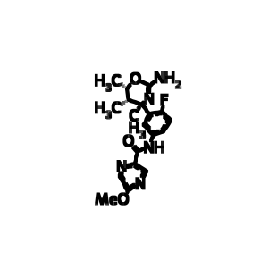 COc1cnc(C(=O)Nc2ccc(F)c([C@@]3(C)N=C(N)O[C@@H](C)[C@H]3C)c2)cn1